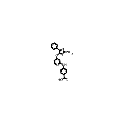 Nc1nc(-c2ccccc2)c(Oc2ccnc(Nc3ccc(C(=O)O)cc3)c2)s1